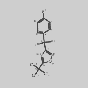 Fc1ccc(C(F)(F)c2noc(C(Cl)(Cl)Cl)n2)cc1